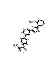 COc1ccccc1-c1nnc(-c2cncc(-c3ccc(C(=O)N(C)C)cc3)n2)o1